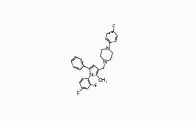 Cc1c(CN2CCN(c3ccc(F)cc3)CC2)cc(-c2ccccc2)n1-c1ccc(F)cc1F